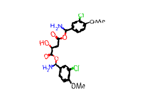 COc1ccc(C(N)OC(=O)CC(O)C(=O)OC(N)c2ccc(OC)c(Cl)c2)cc1Cl